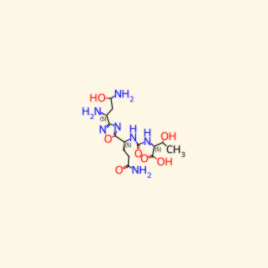 CC(O)[C@H](NC(=O)N[C@@H](CCC(N)=O)c1nc([C@@H](N)CC(N)O)no1)C(=O)O